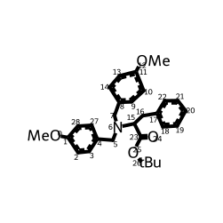 COc1ccc(CN(Cc2ccc(OC)cc2)C(Cc2ccccc2)C(=O)OC(C)(C)C)cc1